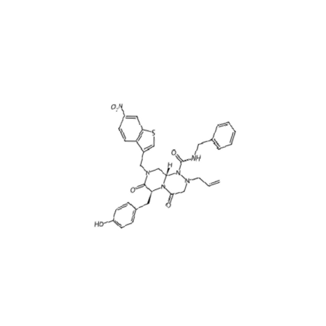 C=CCN1CC(=O)N2[C@@H](Cc3ccc(O)cc3)C(=O)N(Cc3csc4cc([N+](=O)[O-])ccc34)C[C@@H]2N1C(=O)NCc1ccccc1